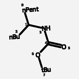 CCCCCC(CCCC)NC(=O)OC(C)(C)C